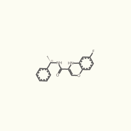 C[C@H](NC(=O)C1=COc2ccc(F)cc2N1)c1ccccc1